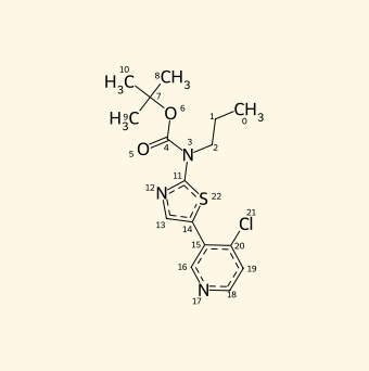 CCCN(C(=O)OC(C)(C)C)c1ncc(-c2cnccc2Cl)s1